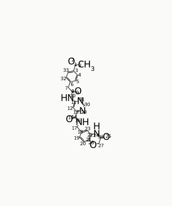 CC(=O)c1ccc(CC(=O)Nc2cc(C(=O)NCc3ccc4c(c3)NC(=O)CO4)ncn2)cc1